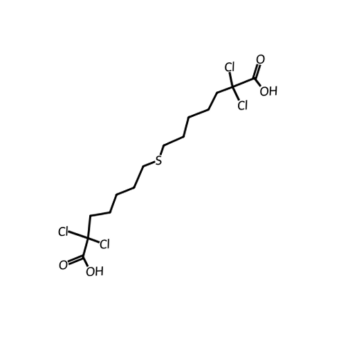 O=C(O)C(Cl)(Cl)CCCCCSCCCCCC(Cl)(Cl)C(=O)O